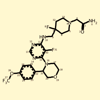 NC(=O)CN1CCC(F)(CNc2ncnc(N3CCOCC3c3ccc(OC(F)(F)F)cc3)c2F)CC1